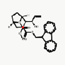 C=C[C@@H](O)[C@@H]1[C@H]2CC[C@@H](CN1C(=O)OCC1c3ccccc3-c3ccccc31)N2C(=O)OC(C)(C)C